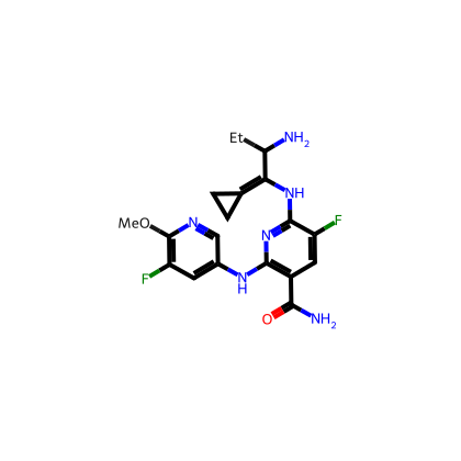 CCC(N)C(Nc1nc(Nc2cnc(OC)c(F)c2)c(C(N)=O)cc1F)=C1CC1